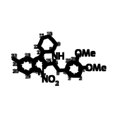 COc1ccc(CC2NC3CCCCC3c3c2n([N+](=O)[O-])c2ccc(C)cc32)cc1OC